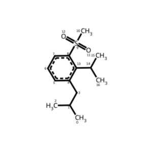 CC(C)Cc1cccc(S(C)(=O)=O)c1C(C)C